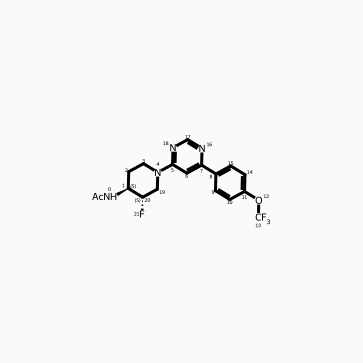 CC(=O)N[C@H]1CCN(c2cc(-c3ccc(OC(F)(F)F)cc3)ncn2)C[C@@H]1F